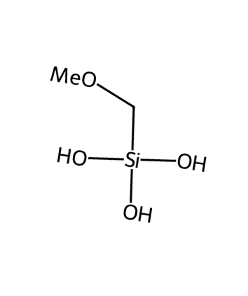 COC[Si](O)(O)O